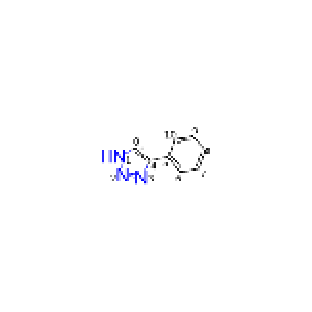 [c]1[nH]nnc1-c1ccccc1